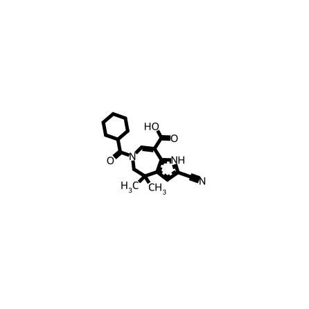 CC1(C)CN(C(=O)C2CCCCC2)C=C(C(=O)O)c2[nH]c(C#N)cc21